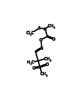 CN(SC(Cl)(Cl)Cl)C(=O)ON=CC(C)(C)S(C)(=O)=O